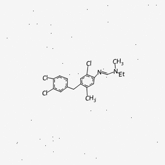 CCN(C)C=Nc1cc(C)c(Cc2ccc(Cl)c(Cl)c2)cc1Cl